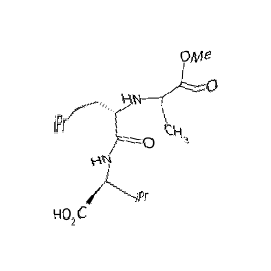 COC(=O)C(C)N[C@@H](CC(C)C)C(=O)N[C@H](C(=O)O)C(C)C